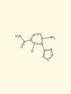 NC(=O)c1ccc([N+](=O)[O-])c(-c2ncco2)c1Cl